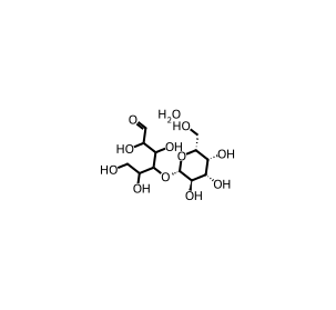 O.O=CC(O)C(O)C(O[C@@H]1O[C@H](CO)[C@H](O)[C@H](O)[C@H]1O)C(O)CO